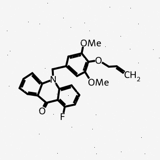 C=CCOc1c(OC)cc(Cn2c3ccccc3c(=O)c3c(F)cccc32)cc1OC